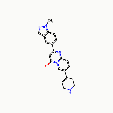 Cn1ncc2cc(-c3cc(=O)n4cc(C5=CCNCC5)ccc4n3)ccc21